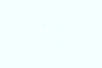 CC(=O)CC(C)C1C(C)CCCC1(C)C